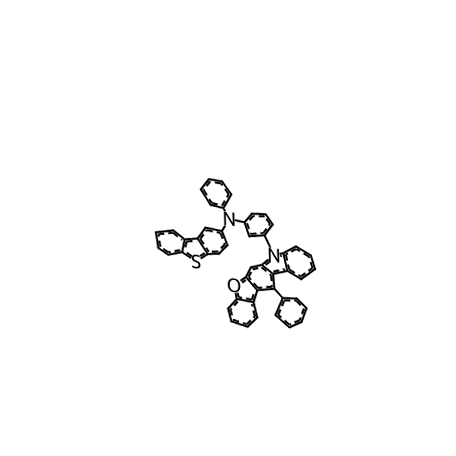 c1ccc(-c2c3c(cc4c2c2ccccc2n4-c2cccc(N(c4ccccc4)c4ccc5sc6ccccc6c5c4)c2)oc2ccccc23)cc1